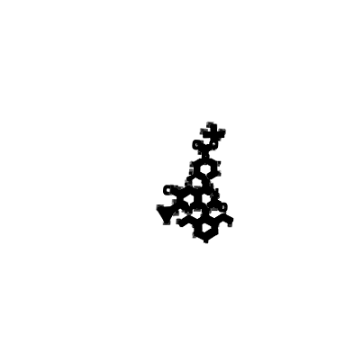 CCc1cccc(CC)c1-n1c(=O)nc(N2CCN(C(=O)OC(C)(C)C)C[C@@H]2C)c2cc(Cl)c(C3CC3)nc21